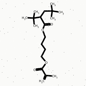 C=C(C)C(=O)OCCCCOC(=O)C(CC(C)(C)C)C(C)(C)C